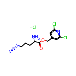 Cl.[N-]=[N+]=NCCC[C@H](N)C(=O)OCc1cc(Cl)nc(Cl)c1